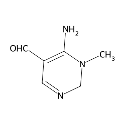 CN1CN=CC(C=O)=C1N